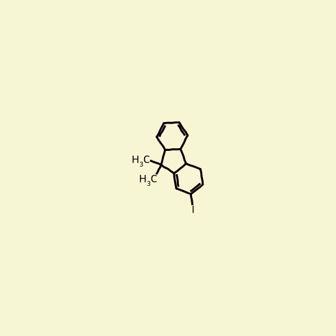 CC1(C)C2=CC(I)=CCC2C2C=CC=CC21